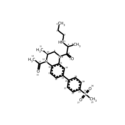 CCCNC(C)C(=O)N1C[C@H](C)N(C(C)=O)c2ccc(-c3ccc(S(C)(=O)=O)cc3)cc21